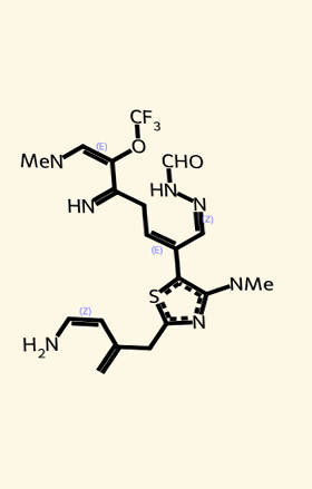 C=C(/C=C\N)Cc1nc(NC)c(C(/C=N\NC=O)=C/CC(=N)/C(=C\NC)OC(F)(F)F)s1